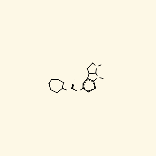 CN1CCC2c3cc(OC(=O)NC4CCCCCC4)ccc3N(C)C21